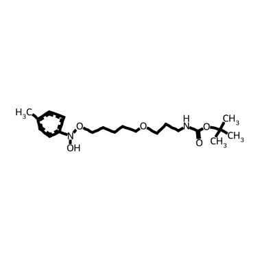 Cc1ccc(N(O)OCCCCCOCCCNC(=O)OC(C)(C)C)cc1